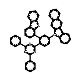 c1ccc(-c2nc(-c3ccccc3)nc(-c3ccc(-n4c5ccccc5c5cc6ccccc6cc54)cc3-c3cccc4c3sc3ccccc34)n2)cc1